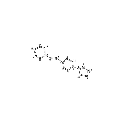 C(#Cc1ccc(C2=N[N]C=C2)cc1)c1ccccc1